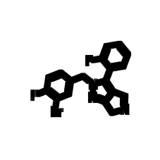 Fc1ccc(Cn2nc3c(c2-c2ccccc2F)C=NC3)cc1Br